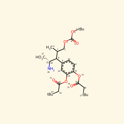 CC(COC(=O)OC(C)(C)C)C(c1ccc(OC(=O)CC(C)(C)C)c(OC(=O)CC(C)(C)C)c1)[C@H](N)C(=O)O